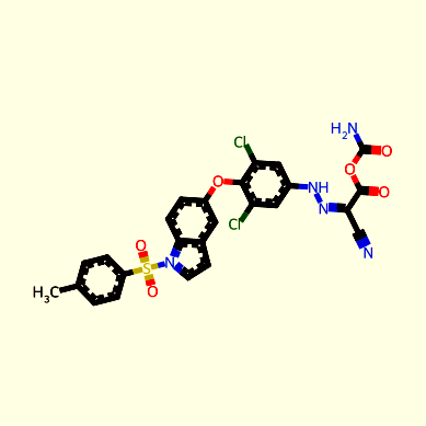 Cc1ccc(S(=O)(=O)n2ccc3cc(Oc4c(Cl)cc(NN=C(C#N)C(=O)OC(N)=O)cc4Cl)ccc32)cc1